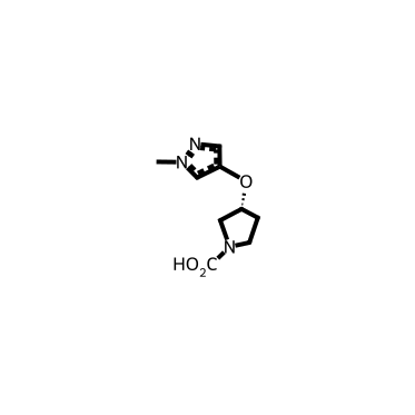 Cn1cc(O[C@@H]2CCN(C(=O)O)C2)cn1